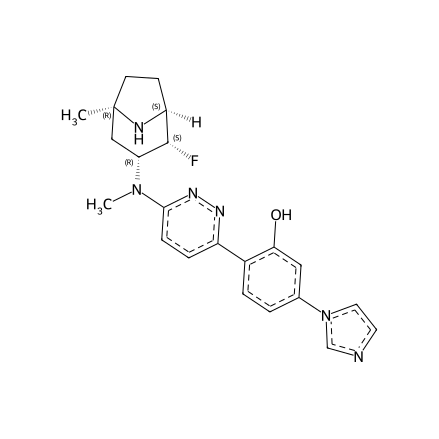 CN(c1ccc(-c2ccc(-n3ccnc3)cc2O)nn1)[C@@H]1C[C@@]2(C)CC[C@H](N2)[C@@H]1F